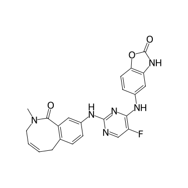 CN1CC=CCc2ccc(Nc3ncc(F)c(Nc4ccc5oc(=O)[nH]c5c4)n3)cc2C1=O